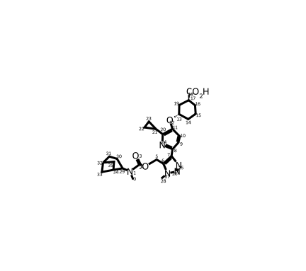 CN(C(=O)OCc1c(-c2ccc(O[C@H]3CCC[C@H](C(=O)O)C3)c(C3CC3)n2)nnn1C)C1CCC2CC1C2